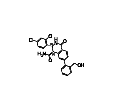 NC(=O)[C@@H]1c2cc(-c3ccccc3CO)ccc2C(=O)N[C@H]1c1ccc(Cl)cc1Cl